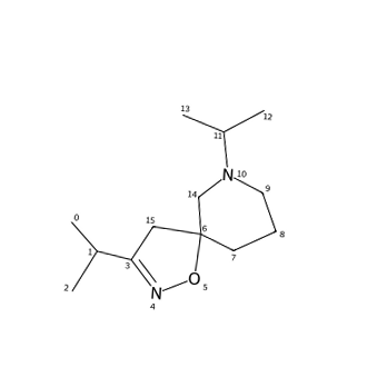 CC(C)C1=NOC2(CCCN(C(C)C)C2)C1